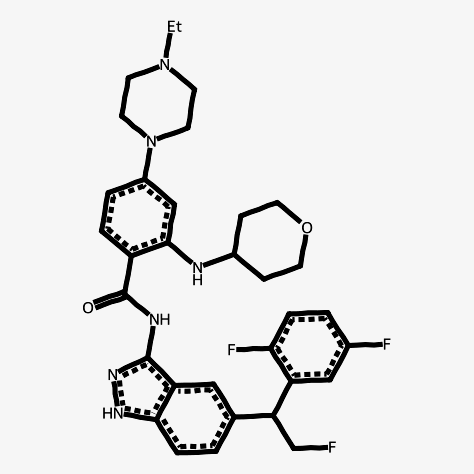 CCN1CCN(c2ccc(C(=O)Nc3n[nH]c4ccc(C(CF)c5cc(F)ccc5F)cc34)c(NC3CCOCC3)c2)CC1